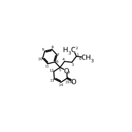 CC(C)CCC1(c2ccccc2)CC=CC(=O)O1